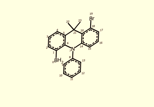 Bc1cccc2c1N(c1ccccc1)c1cccc(Br)c1C2(C)C